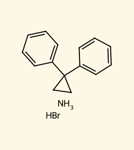 Br.N.c1ccc(C2(c3ccccc3)CC2)cc1